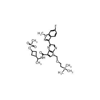 CC(NC(=O)c1cn(COCC[Si](C)(C)C)c2ncc(-c3nn(C)c4cc(F)ccc34)nc12)C1CC(OS(C)(=O)=O)C1